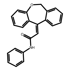 O=C(C=C1c2ccccc2COc2ccccc21)Nc1ccccc1